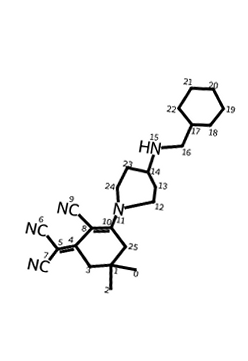 CC1(C)CC(=C(C#N)C#N)C(C#N)=C(N2CCC(NCC3CCCCC3)CC2)C1